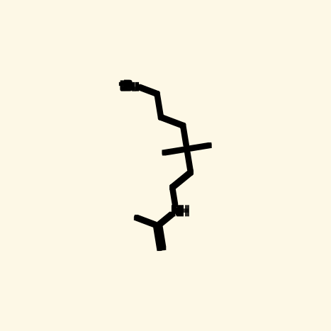 C=C(C)NCCC(C)(C)CCCC(C)(C)C